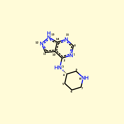 c1nc(N[C@H]2CCCNC2)c2cn[nH]c2n1